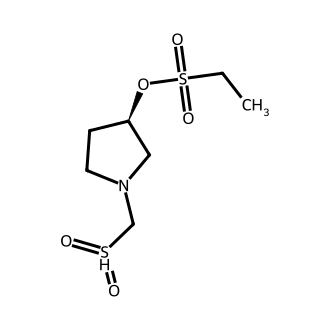 CCS(=O)(=O)O[C@@H]1CCN(C[SH](=O)=O)C1